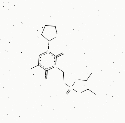 CCOP(=O)(OCC)OCn1c(=O)c(F)cn(C2CCCO2)c1=O